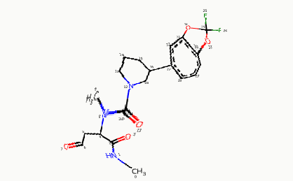 CNC(=O)C(CC=O)N(C)C(=O)N1CCCC(c2ccc3c(c2)OC(F)(F)O3)C1